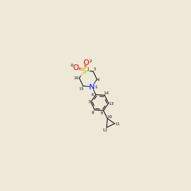 O=S1(=O)CCN(c2ccc(C3CC3)cc2)CC1